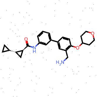 NCc1cc(-c2cccc(NC(=O)[C@H]3C[C@@H]3C3CC3)c2)ccc1OC1CCOCC1